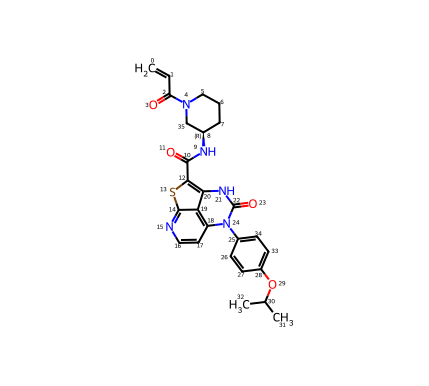 C=CC(=O)N1CCC[C@@H](NC(=O)c2sc3nccc4c3c2NC(=O)N4c2ccc(OC(C)C)cc2)C1